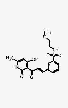 COCCNS(=O)(=O)c1cccc(/C=C/C(=O)c2c(O)cc(C)[nH]c2=O)c1